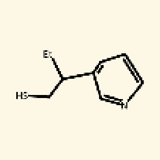 CCC(CS)c1cccnc1